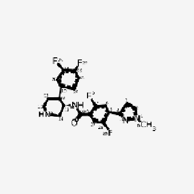 Cn1ccc(-c2cc(F)c(C(=O)N[C@@H]3CNCC[C@H]3c3ccc(F)c(F)c3)cc2F)n1